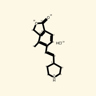 Cc1c(/C=C/C2CCNCC2)ccc2c1COC2=O.Cl